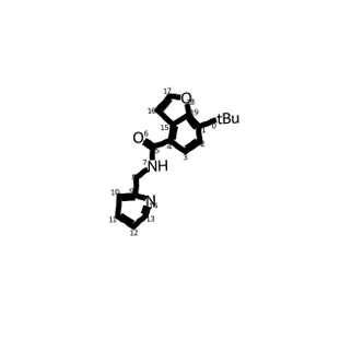 CC(C)(C)c1ccc(C(=O)NCc2ccccn2)c2ccoc12